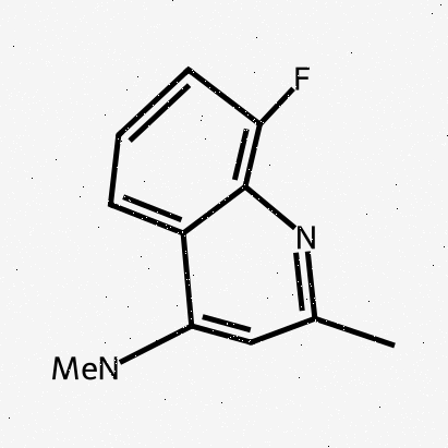 CNc1cc(C)nc2c(F)cccc12